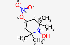 CC1(C)CC(O[N+](=O)[O-])CC(C)(C)N1O